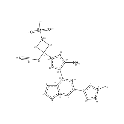 Cn1cc(-c2cn3nccc3c(-c3cn(C4(CC#N)CN(S(C)(=O)=O)C4)nc3N)n2)cn1